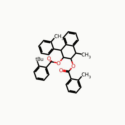 Cc1ccccc1C(=O)OC1C(C)c2ccccc2C(c2ccccc2C)C1OC(=O)c1ccccc1C(C)(C)C